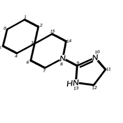 C1CCC2(CC1)CCN(C1=NCCN1)CC2